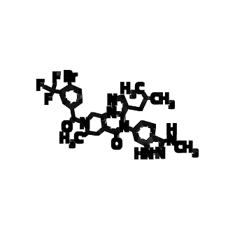 CNc1n[nH]c2cc(-n3c(=O)c4c(n5ncc(CC(C)C)c35)CN(C(=O)c3ccc(Br)c(C(F)(F)F)c3)[C@H](C)C4)ccc12